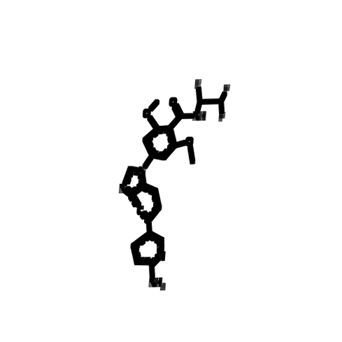 COc1cc(-n2cnc3cc(-c4ccc(N)nc4)ccc32)cc(OC)c1C(=O)NC(F)C(F)F